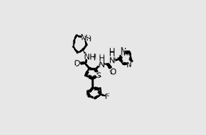 O=C(Nc1cnccn1)Nc1sc(-c2cccc(F)c2)cc1C(=O)N[C@H]1CCCCNC1